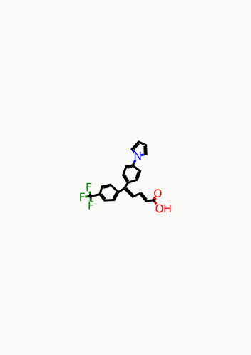 O=C(O)/C=C/C=C(\c1ccc(-n2cccc2)cc1)c1ccc(C(F)(F)F)cc1